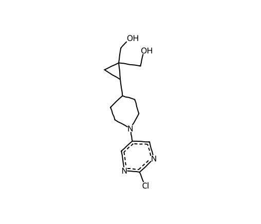 OCC1(CO)CC1C1CCN(c2cnc(Cl)nc2)CC1